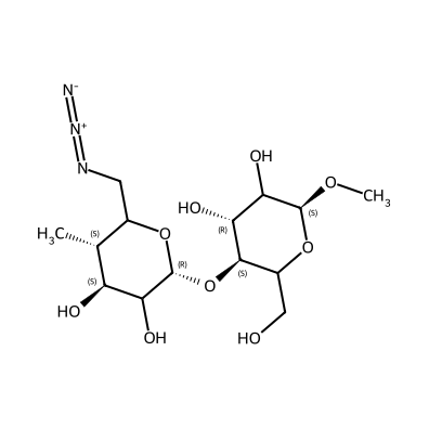 CO[C@H]1OC(CO)[C@@H](O[C@H]2OC(CN=[N+]=[N-])[C@@H](C)[C@H](O)C2O)[C@H](O)C1O